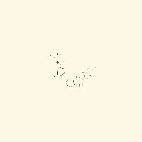 CC1(F)CC2(F)CC3(NC(=O)c4cc(Oc5c(Cl)cc(N6CNC(=O)C(C(F)F)=N6)cc5Cl)ccc4O)CC23C1